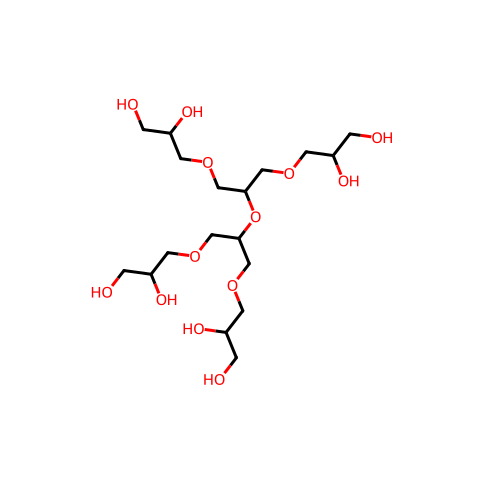 OCC(O)COCC(COCC(O)CO)OC(COCC(O)CO)COCC(O)CO